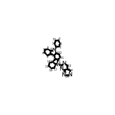 c1ccc(-n2c3ccccc3c3c4c5ccccc5n(-c5ncc6cncnc6n5)c4ccc32)cc1